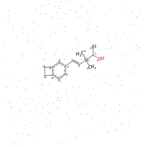 CCC(O)[Si](C)(C)/C=C/c1ccc2c(c1)CC2